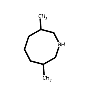 CC1CBCC(C)CCC1